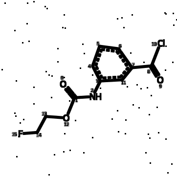 O=C(Nc1cccc(C(=O)Cl)c1)OCCF